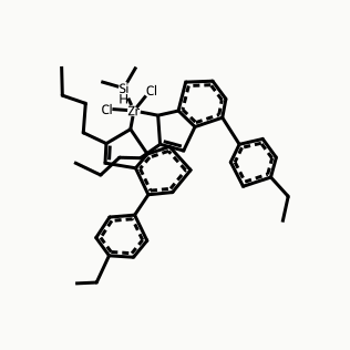 CCCCC1=Cc2c(-c3ccc(CC)cc3)cccc2[CH]1[Zr]([Cl])([Cl])([CH]1C(CCCC)=Cc2c(-c3ccc(CC)cc3)cccc21)[SiH](C)C